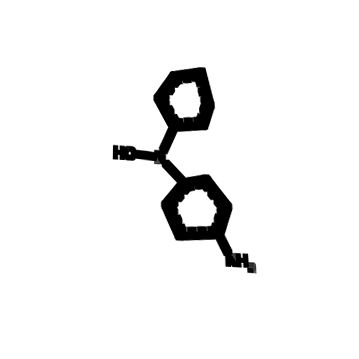 Nc1ccc(N(O)c2ccccc2)cc1